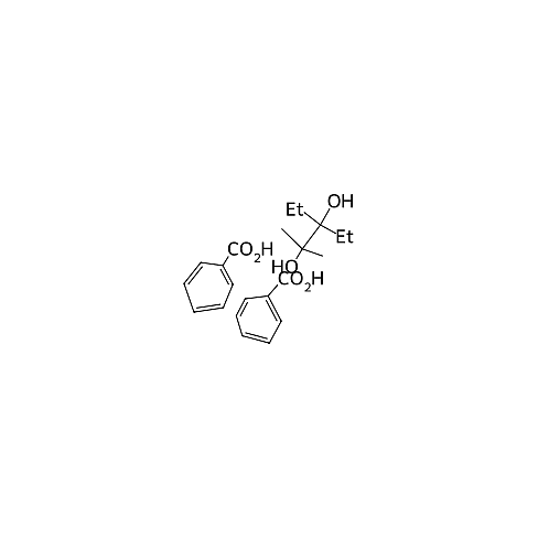 CCC(O)(CC)C(C)(C)O.O=C(O)c1ccccc1.O=C(O)c1ccccc1